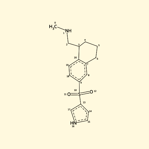 CNCC1CCCc2cc(S(=O)(=O)c3cc[nH]c3)ccc21